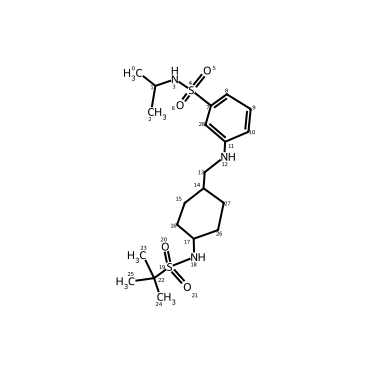 CC(C)NS(=O)(=O)c1cccc(NCC2CCC(NS(=O)(=O)C(C)(C)C)CC2)c1